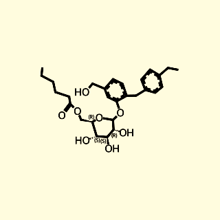 CCCCCC(=O)OC[C@H]1OC(Oc2cc(CO)ccc2Cc2ccc(CC)cc2)[C@H](O)[C@@H](O)[C@@H]1O